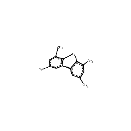 Cc1cc(C)c2c(c1)-c1cc(C)cc(C)c1[N]2